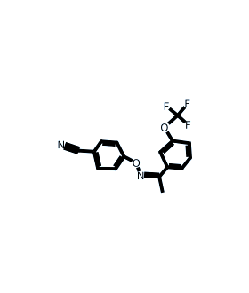 CC(=NOc1ccc(C#N)cc1)c1cccc(OC(F)(F)F)c1